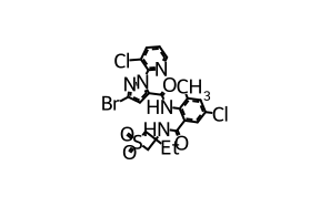 CCC1(NC(=O)c2cc(Cl)cc(C)c2NC(=O)c2cc(Br)nn2-c2ncccc2Cl)CS(=O)(=O)C1